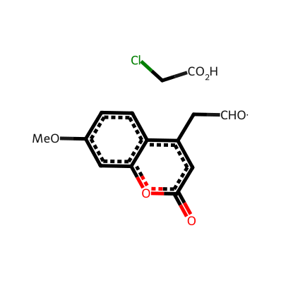 COc1ccc2c(C[C]=O)cc(=O)oc2c1.O=C(O)CCl